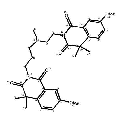 COc1ccc2c(c1)C(=O)N(CCCN(C)CCN1C(=O)c3cc(OC)ccc3C(C)(C)C1=O)C(=O)C2(C)C